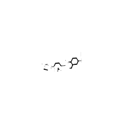 O=c1oc(-c2ccc(-n3ccnc3)nn2)nc2cc(Cl)c(F)cc12